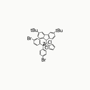 CC(C)(C)c1ccc2c(c1)-c1cc(C(C)(C)C)ccc1[CH]2[Zr]([Cl])([Cl])(=[C](c1ccc(Br)cc1)c1ccc(Br)cc1)[CH]1C=CC=C1